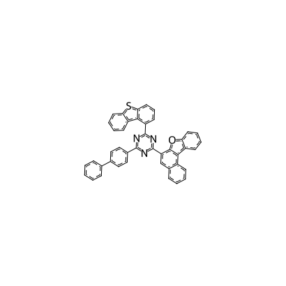 c1ccc(-c2ccc(-c3nc(-c4cc5ccccc5c5c4oc4ccccc45)nc(-c4cccc5sc6ccccc6c45)n3)cc2)cc1